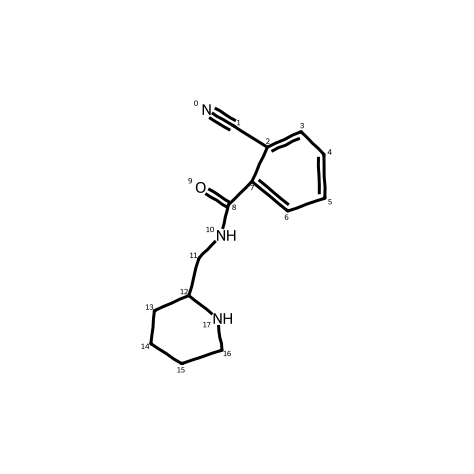 N#Cc1ccccc1C(=O)NCC1CCCCN1